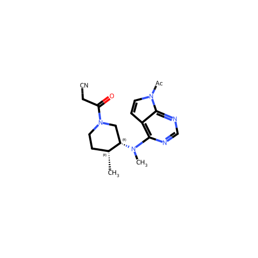 CC(=O)n1ccc2c(N(C)[C@H]3CN(C(=O)CC#N)CC[C@H]3C)ncnc21